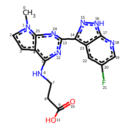 Cn1ccc2c(NCCC(=O)O)nc(-c3n[nH]c4ncc(F)cc34)nc21